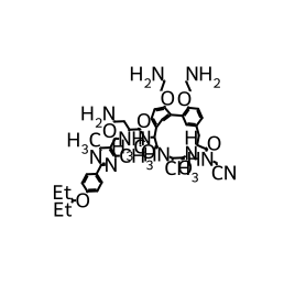 CCC(CC)Oc1ccc(-c2nc(C)c(C(=O)NC(CCN)C(=O)N(C)C3C(=O)NC(C)C(=O)NC(C(=O)NCC#N)Cc4ccc(OCCN)c(c4)-c4cc3ccc4OCCN)c(C)n2)cc1